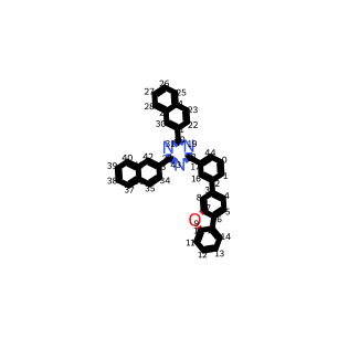 c1cc(-c2ccc3c(c2)oc2ccccc23)cc(-c2nc(-c3ccc4ccccc4c3)nc(-c3ccc4ccccc4c3)n2)c1